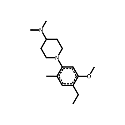 CCc1cc(C)c(N2CCC(N(C)C)CC2)cc1OC